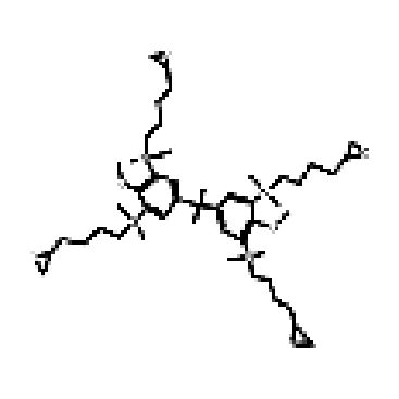 COc1c([Si](C)(C)CCCCC2CO2)cc(C(C)(C)c2cc([Si](C)(C)CCCCC3CO3)c(OC)c([Si](C)(C)CCCCC3CO3)c2)cc1[Si](C)(C)CCCCC1CO1